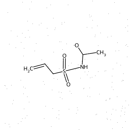 C=CCS(=O)(=O)NC(C)[O]